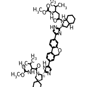 COC(=O)NC(CC(=O)N1[C@H](c2nc(-c3ccc4c(c3)OCc3cc(-c5cnc([C@@H]6C[C@@]7(CCCOC7)CN6C(=O)C(NC(=O)OC)C(C)C)[nH]5)ccc3-4)c[nH]2)C[C@@H]2CCCC[C@@H]21)C(C)C